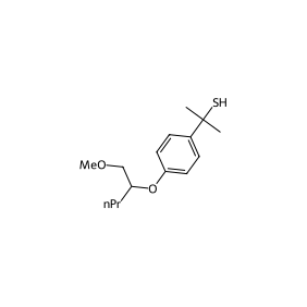 CCCC(COC)Oc1ccc(C(C)(C)S)cc1